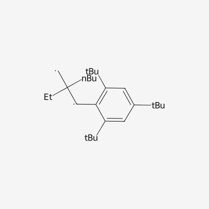 [CH2]C([CH]c1c(C(C)(C)C)cc(C(C)(C)C)cc1C(C)(C)C)(CC)CCCC